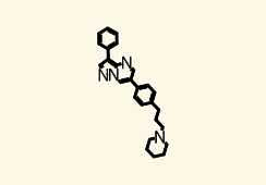 c1ccc(-c2cnn3cc(-c4ccc(CCCN5CCCCC5)cc4)cnc23)cc1